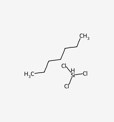 CCCCCCC.Cl[SiH](Cl)Cl